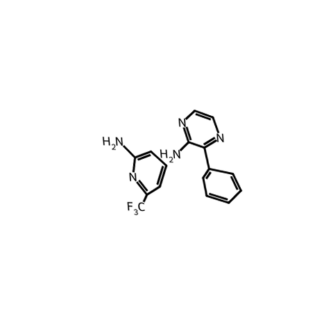 Nc1cccc(C(F)(F)F)n1.Nc1nccnc1-c1ccccc1